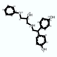 Oc1ccc(C(CNCC(O)COc2ccccc2)c2ccc(O)cc2)cc1